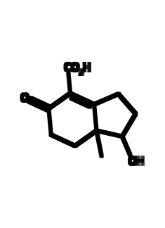 CC12CCC(=O)C(C(=O)O)=C1CCC2O